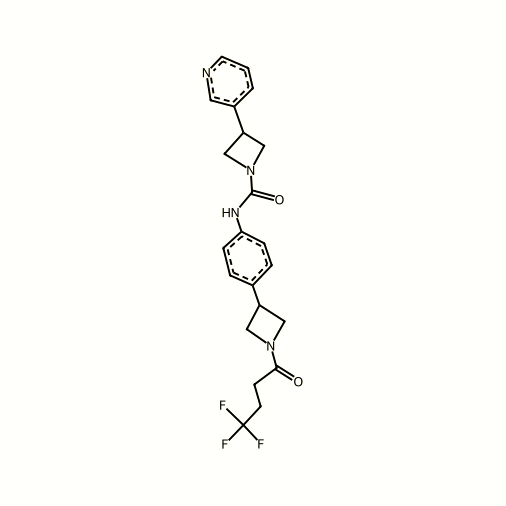 O=C(CCC(F)(F)F)N1CC(c2ccc(NC(=O)N3CC(c4cccnc4)C3)cc2)C1